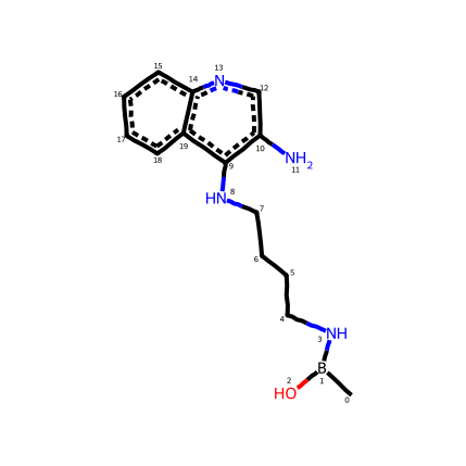 CB(O)NCCCCNc1c(N)cnc2ccccc12